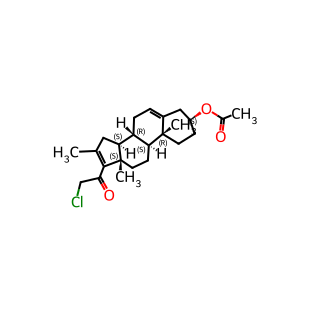 CC(=O)O[C@H]1CC[C@@]2(C)C(=CC[C@@H]3[C@@H]2CC[C@]2(C)C(C(=O)CCl)=C(C)C[C@@H]32)C1